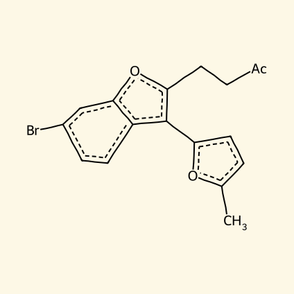 CC(=O)CCc1oc2cc(Br)ccc2c1-c1ccc(C)o1